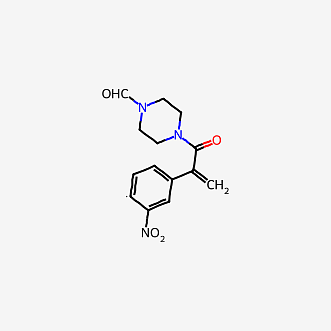 C=C(C(=O)N1CCN(C=O)CC1)c1cc[c]c([N+](=O)[O-])c1